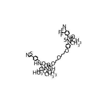 CC(C)(C)[C@H](NC(=O)COCCCOCCCCOc1ccc(N2C(=S)N(c3ccc(C#N)c(C(F)(F)F)c3)C(=O)C2(C)C)cc1)C(=O)N1C[C@H](O)C[C@H]1C(=O)NCc1ccc(-c2cncs2)cc1